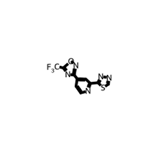 FC(F)(F)c1nc(-c2ccnc(-c3nncs3)c2)no1